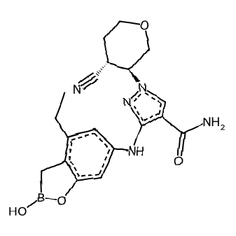 CCc1cc(Nc2nn([C@@H]3COCC[C@H]3C#N)cc2C(N)=O)cc2c1CB(O)O2